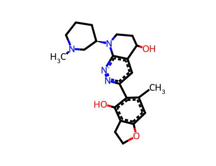 Cc1cc2c(c(O)c1-c1cc3c(nn1)N([C@@H]1CCCN(C)C1)CCC3O)CCO2